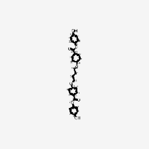 O=C(Oc1ccc(O)cc1)c1ccc(OCCCCOc2ccc(C(=O)Oc3ccc(O)cc3)cc2)cc1